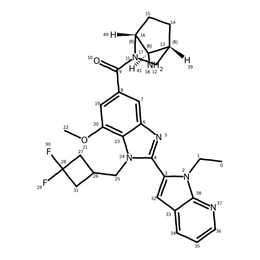 CCn1c(-c2nc3cc(C(=O)N4C[C@H]5CC[C@@H]4[C@@H]5N)cc(OC)c3n2CC2CC(F)(F)C2)cc2cccnc21